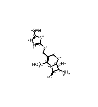 CSc1nnc(SCC2=C(C(=O)O)N3C(=O)C(N)[C@@H]3SC2)s1